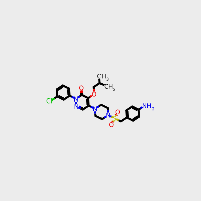 CC(C)COc1c(N2CCN(S(=O)(=O)Cc3ccc(N)cc3)CC2)cnn(-c2cccc(Cl)c2)c1=O